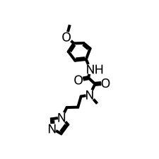 COc1ccc(NC(=O)C(=O)N(C)CCCn2ccnc2)cc1